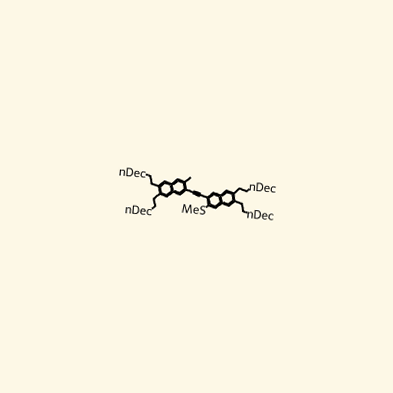 CCCCCCCCCCCCc1cc2cc(C)c(C#Cc3cc4cc(CCCCCCCCCCCC)c(CCCCCCCCCCCC)cc4cc3SC)cc2cc1CCCCCCCCCCCC